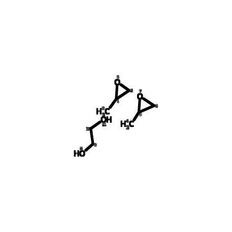 CC1CO1.CC1CO1.OCCO